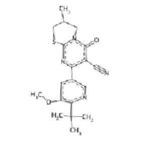 COc1cc(-c2nc3n(c(=O)c2C#N)CC(C)CS3)cnc1C(C)(C)C